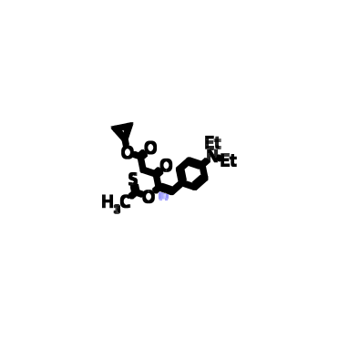 CCN(CC)c1ccc(/C=C(/OC(C)=S)C(=O)CC(=O)OC2CC2)cc1